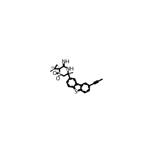 CC#Cc1ccc2sc3ccc([C@]4(C)CS(=O)(=O)[C@]5(C[C@@H]5C)C(=N)N4)cc3c2c1